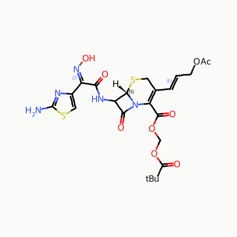 CC(=O)OC/C=C/C1=C(C(=O)OCOC(=O)C(C)(C)C)N2C(=O)C(NC(=O)/C(=N\O)c3csc(N)n3)[C@@H]2SC1